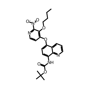 CCCCOc1c(Oc2ccc(NC(=O)OC(C)(C)C)c3ncccc23)ccnc1[N+](=O)[O-]